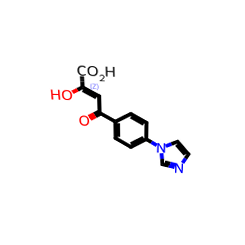 O=C(O)/C(O)=C/C(=O)c1ccc(-n2ccnc2)cc1